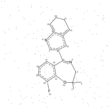 CC1(C)CN=C(c2cnc3c(c2)=CCCC=3)c2cccc(F)c2O1